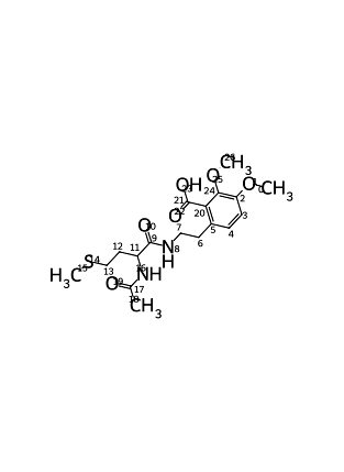 COc1ccc(CCNC(=O)C(CCSC)NC(C)=O)c(C(=O)O)c1OC